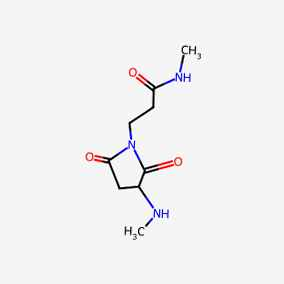 CNC(=O)CCN1C(=O)CC(NC)C1=O